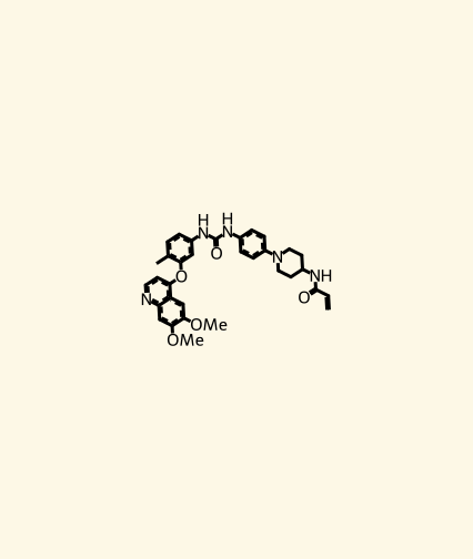 C=CC(=O)NC1CCN(c2ccc(NC(=O)Nc3ccc(C)c(Oc4ccnc5cc(OC)c(OC)cc45)c3)cc2)CC1